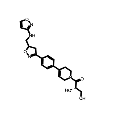 O=C([C@@H](O)CO)N1CC=C(c2ccc(C3=NOC(CNc4ccon4)C3)cc2)CC1